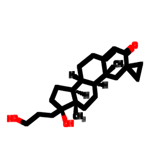 C[C@]12CC3(CC3)C(=O)C=C1CC[C@@H]1[C@@H]2CC[C@@]2(C)[C@H]1CC[C@@]2(O)CCCO